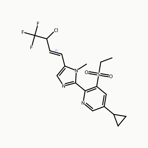 CCS(=O)(=O)c1cc(C2CC2)cnc1-c1ncc(/C=C/C(Cl)C(F)(F)F)n1C